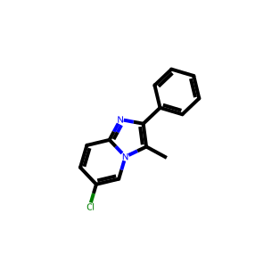 Cc1c(-c2ccccc2)nc2ccc(Cl)cn12